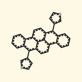 c1ccc2c(c1)c(-c1ccsc1)c1ccc3c4ccccc4c(-c4ccsc4)c4ccc2c1c43